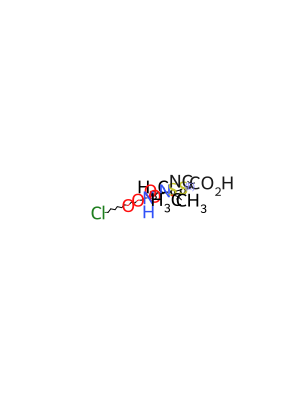 CN(CCOC(=O)NCCOCCOCCCCCCCl)c1cc2c(s1)-c1sc(/C=C(\C#N)C(=O)O)cc1C2(C)C